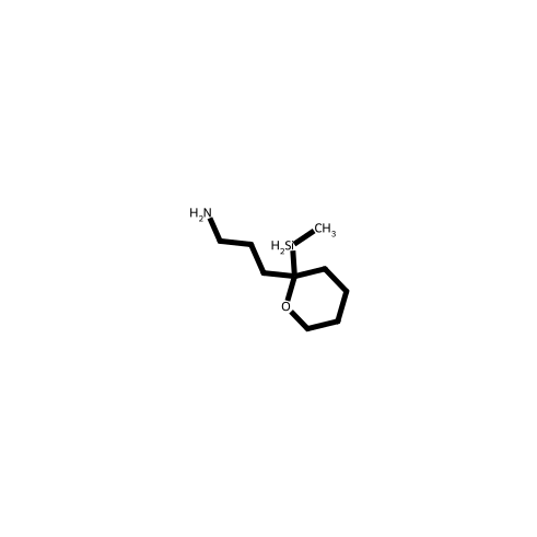 C[SiH2]C1(CCCN)CCCCO1